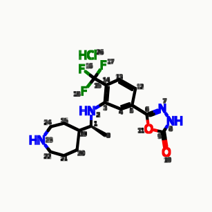 C[C@H](Nc1cc(-c2n[nH]c(=O)o2)ccc1C(F)(F)F)C1CCCNCC1.Cl